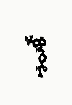 O=C(NC1CC1)C1CCC(CNc2ccnc3cc(C(F)(F)F)ccc23)CC1